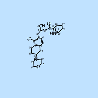 N#C[C@H](Cc1ccc2c(c1F)CCC(N1CCOCC1)C2)NC(=O)[C@H]1NC2CCC1C2